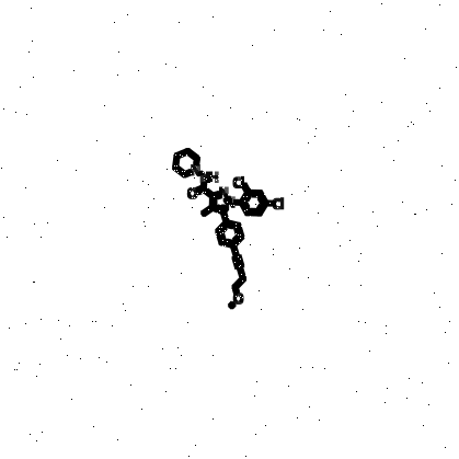 COCCC#Cc1ccc(-c2c(C)c(C(=O)NN3CCCCC3)nn2-c2ccc(Cl)cc2Cl)cc1